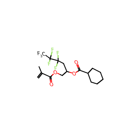 C=C(C)C(=O)OCC(CC(F)(F)C(F)(F)C(F)(F)F)OC(=O)C1CCCCC1